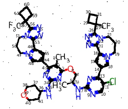 Cc1c(OC[C@H](C)Nc2ncc(Cl)c(-c3cc4n(c3)CCCn3c-4nnc3C3(C(F)(F)F)CCC3)n2)nc(NC2CCOCC2)nc1-c1cc2n(c1)CCCn1c-2nnc1C1(C(F)(F)F)CCC1